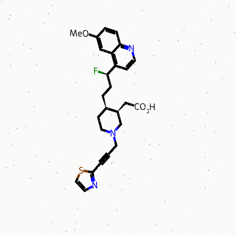 COc1ccc2nccc([C@H](F)CC[C@@H]3CCN(CC#Cc4nccs4)C[C@@H]3CC(=O)O)c2c1